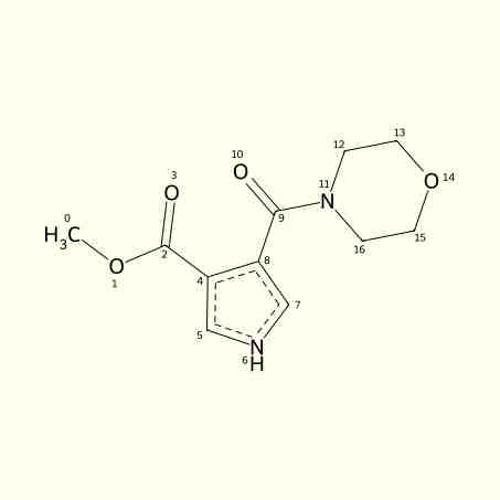 COC(=O)c1c[nH]cc1C(=O)N1CCOCC1